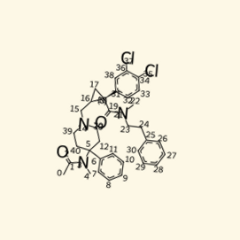 CC(=O)N(C)C1(c2ccccc2)CCN(CC2C[C@@]2(C(=O)N(C)CCc2ccccc2)c2ccc(Cl)c(Cl)c2)CC1